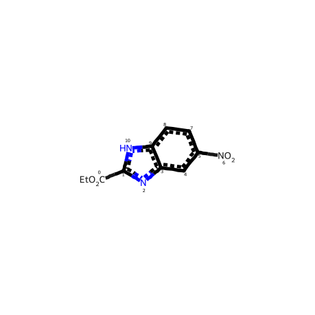 CCOC(=O)c1nc2cc([N+](=O)[O-])ccc2[nH]1